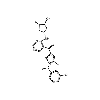 [CH2][C@@H]1C[C@@H](Nc2ncncc2C(=O)c2cc(C)n([C@H](C)c3cccc(Cl)c3)n2)C[C@@H]1O